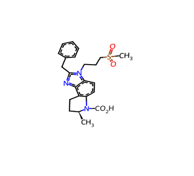 C[C@H]1CCc2c(ccc3c2nc(Cc2ccccc2)n3CCCS(C)(=O)=O)N1C(=O)O